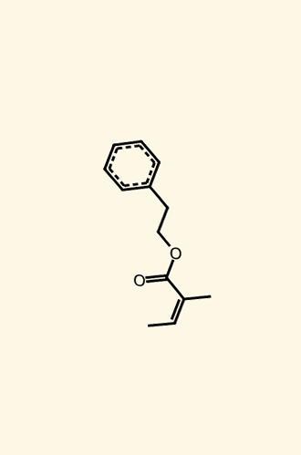 C/C=C(/C)C(=O)OCCc1ccccc1